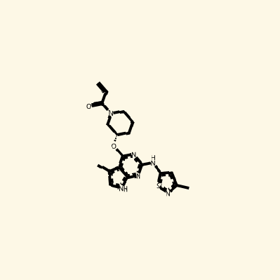 C=CC(=O)N1CCC[C@H](Oc2nc(Nc3cc(C)ns3)nc3[nH]cc(C)c23)C1